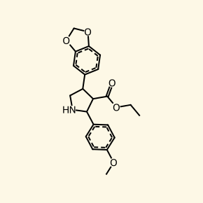 CCOC(=O)C1C(c2ccc3c(c2)OCO3)CNC1c1ccc(OC)cc1